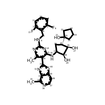 Cc1nc(NCc2c(F)cccc2F)nc(NC2C[C@H](C3(O)CCCC3)[C@@H](O)[C@H]2O)c1-c1nc2c(C)nccc2s1